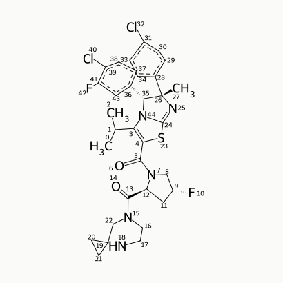 CC(C)C1=C(C(=O)N2C[C@H](F)C[C@H]2C(=O)N2CCNC3(CC3)C2)SC2=N[C@@](C)(c3ccc(Cl)cc3)[C@@H](c3ccc(Cl)c(F)c3)N21